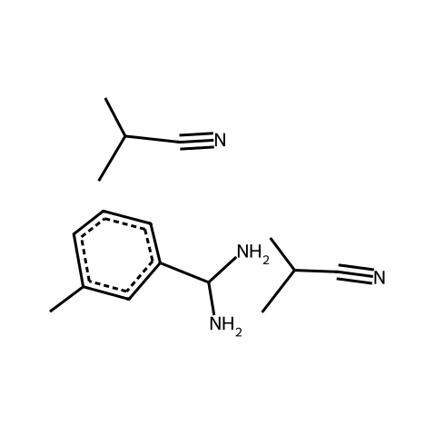 CC(C)C#N.CC(C)C#N.Cc1cccc(C(N)N)c1